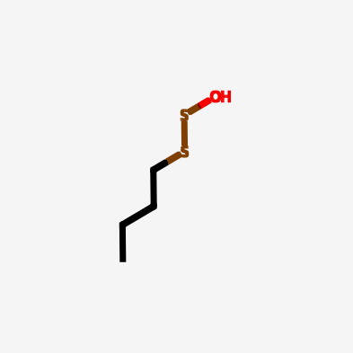 CCCCSSO